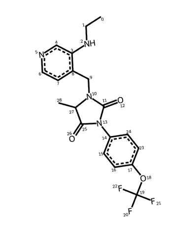 CCNc1cnccc1CN1C(=O)N(c2ccc(OC(F)(F)F)cc2)C(=O)C1C